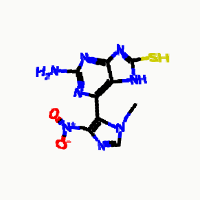 Cn1cnc([N+](=O)[O-])c1-c1nc(N)nc2nc(S)[nH]c12